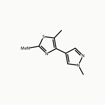 CNc1nc(-c2cnn(C)c2)c(C)s1